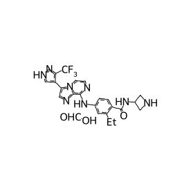 CCc1cc(Nc2nccn3c(-c4c[nH]nc4C(F)(F)F)cnc23)ccc1C(=O)NC1CNC1.O=CO